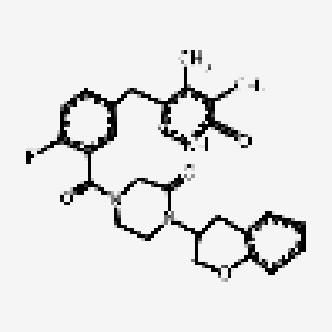 Cc1c(Cc2ccc(F)c(C(=O)N3CCN(C4COc5ccccc5C4)C(=O)C3)c2)n[nH]c(=O)c1C